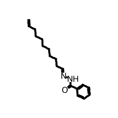 C=CCCCCCCCC/C=N/NC(=O)c1ccccc1